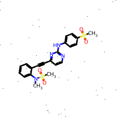 CN(c1ccccc1C#Cc1ccnc(Nc2ccc(S(C)(=O)=O)cc2)n1)S(C)(=O)=O